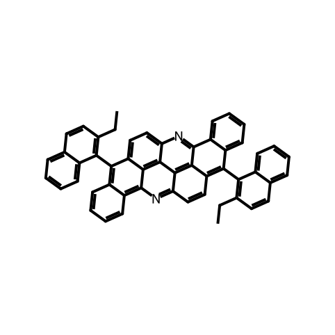 CCc1ccc2ccccc2c1-c1c2ccccc2c2nc3ccc4c(-c5c(CC)ccc6ccccc56)c5ccccc5c5nc6ccc1c2c6c3c45